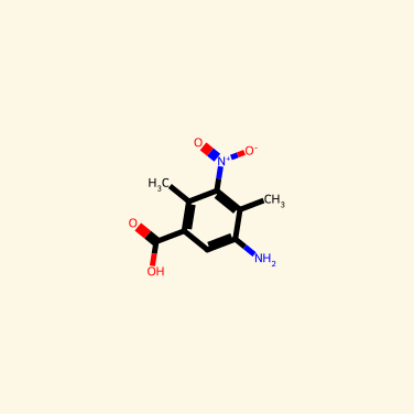 Cc1c(N)cc(C(=O)O)c(C)c1[N+](=O)[O-]